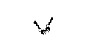 C=CCCCCOc1ccnc(-c2cc(OCCCCC=C(C)C)ccn2)c1